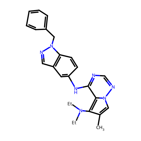 CCN(CC)c1c(C)cn2ncnc(Nc3ccc4c(cnn4Cc4ccccc4)c3)c12